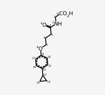 O=C(O)CNC(=O)CCCOc1ccc(C2CC2)cc1